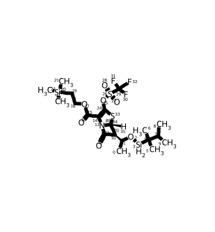 CC(O[SiH2]C(C)(C)C(C)C)[C@H]1C(=O)N2C(C(=O)OCC[Si](C)(C)C)=C(OS(=O)(=O)C(F)(F)F)S[C@H]12